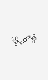 CSC1CC(=O)N(CC[N+](C)(C)Cc2ccc(C[N+](C)(C)CCN3C(=O)C=CC3=O)cc2)C1=O